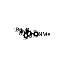 CNc1ccc(-c2cc(=O)c3c(NC(=O)C(C)(C)C)cccc3o2)cc1